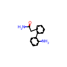 NC(=O)Cc1ccccc1-c1ccccc1N